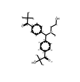 CN(CCO)C(c1ccc(C(=O)C(C)(C)C)cc1)c1ccc(C(=O)C(C)(C)O)cc1